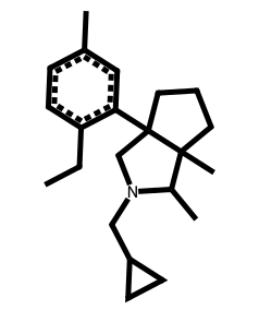 CCc1ccc(C)cc1C12CCCC1(C)C(C)N(CC1CC1)C2